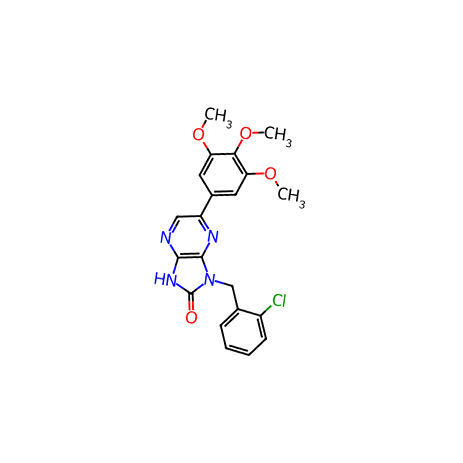 COc1cc(-c2cnc3[nH]c(=O)n(Cc4ccccc4Cl)c3n2)cc(OC)c1OC